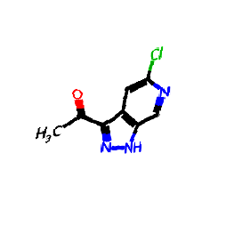 CC(=O)c1n[nH]c2cnc(Cl)cc12